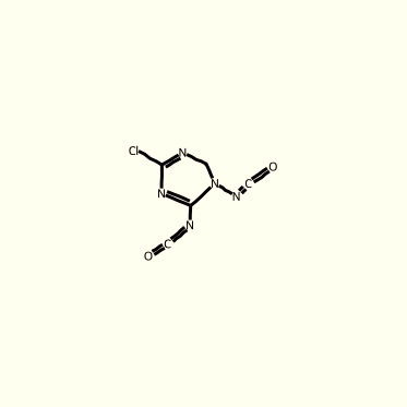 O=C=NC1=NC(Cl)=NCN1N=C=O